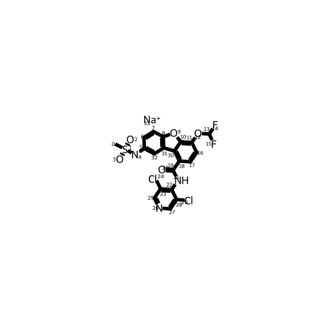 CS(=O)(=O)[N-]c1ccc2oc3c(OC(F)F)ccc(C(=O)Nc4c(Cl)cncc4Cl)c3c2c1.[Na+]